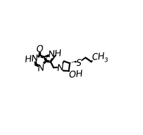 CCCSC[C@H]1CN(Cc2c[nH]c3c(=O)[nH]cnc23)C[C@@H]1O